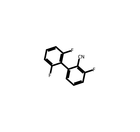 N#Cc1c(F)cccc1-c1c(F)cccc1F